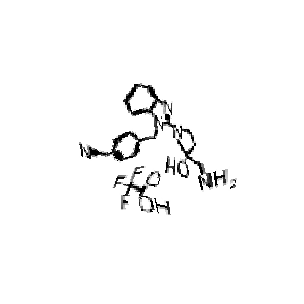 N#Cc1ccc(Cn2c(N3CC[C@@](O)(CN)C3)nc3ccccc32)cc1.O=C(O)C(F)(F)F